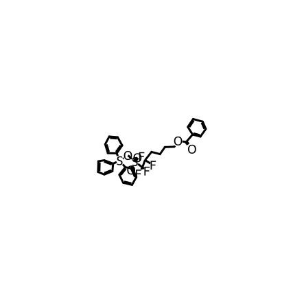 O=C(OCCCCC(F)(F)C(F)(F)S(=O)(=O)OS(c1ccccc1)(c1ccccc1)c1ccccc1)c1ccccc1